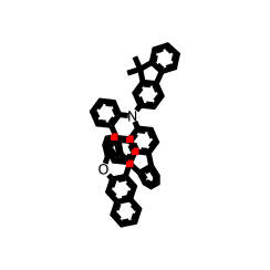 CC1(C)c2ccccc2-c2ccc(N(c3ccc4c(c3)C3(c5ccccc5Oc5cc6ccccc6cc53)c3ccccc3-4)c3ccccc3-c3ccccc3)cc21